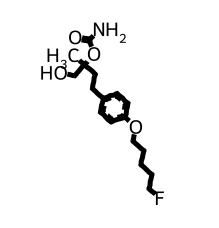 CC(CO)(CCc1ccc(OCCCCCF)cc1)OC(N)=O